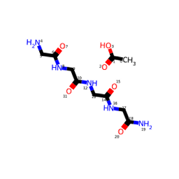 CC(=O)O.NCC(=O)NCC(=O)NCC(=O)NCC(N)=O